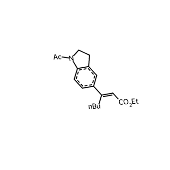 CCCCC(=CC(=O)OCC)c1ccc2c(c1)CCN2C(C)=O